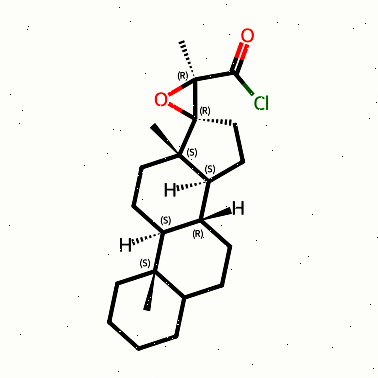 C[C@]12CCCCC1CC[C@@H]1[C@@H]2CC[C@@]2(C)[C@H]1CC[C@@]21O[C@@]1(C)C(=O)Cl